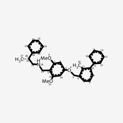 COc1cc(OCc2cccc(-c3ccccc3)c2C)cc(OC)c1CNC[C@H](C)c1ccccc1